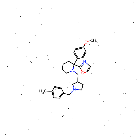 COc1ccc(C2(c3ncco3)CCCCN2CC2CCN(Cc3ccc(C)cc3)C2)cc1